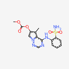 COC(=O)Oc1cn2ncnc(Nc3ccccc3S(N)(=O)=O)c2c1C